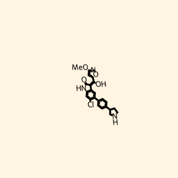 COc1cc(C(O)=C2C(=O)Nc3cc(Cl)c(-c4ccc(C5CCNC5)cc4)cc32)on1